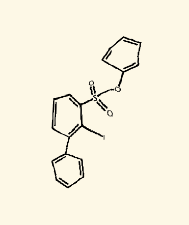 O=S(=O)(Oc1ccccc1)c1cccc(-c2ccccc2)c1I